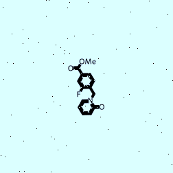 COC(=O)c1ccc(Cn2ccccc2=O)c(F)c1